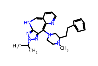 CC(C)n1nc2c(n1)C(N1CCN(C)C(CCc3ccccc3)C1)=c1ncccc1=CN2